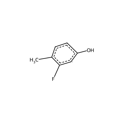 Cc1ccc(O)[c]c1F